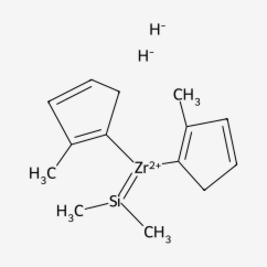 CC1=[C]([Zr+2]([C]2=C(C)C=CC2)=[Si](C)C)CC=C1.[H-].[H-]